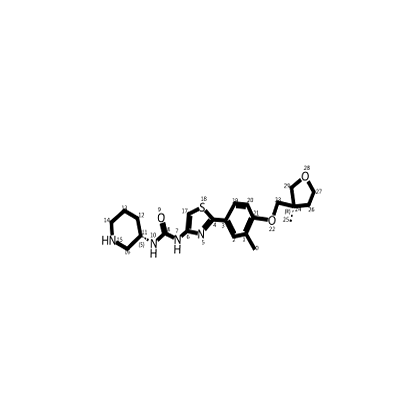 Cc1cc(-c2nc(NC(=O)N[C@H]3CCCNC3)cs2)ccc1OC[C@]1(C)CCOC1